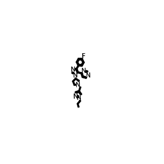 CCCn1cc(CN2CCC(n3cnc(-c4ccc(F)cc4)c3-c3ccncn3)C2)cn1